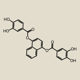 O=C(Oc1ccc(OC(=O)c2ccc(O)c(O)c2)c2ccccc12)c1ccc(O)c(O)c1